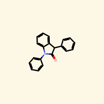 O=C1C(c2ccccc2)c2ccccc2N1c1ccccc1